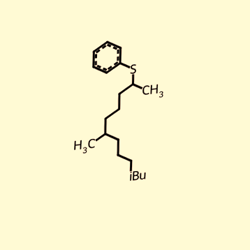 CCC(C)CCCC(C)CCCC(C)Sc1ccccc1